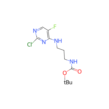 CC(C)(C)OC(=O)NCCCNc1nc(Cl)ncc1F